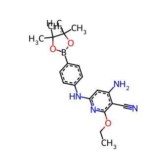 CCOc1nc(Nc2ccc(B3OC(C)(C)C(C)(C)O3)cc2)cc(N)c1C#N